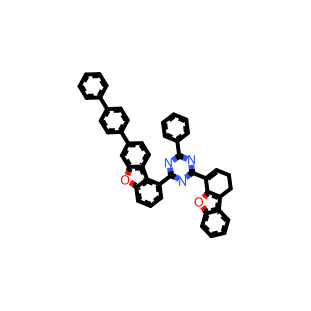 C1=C(c2nc(-c3ccccc3)nc(-c3cccc4oc5cc(-c6ccc(-c7ccccc7)cc6)ccc5c34)n2)c2oc3ccccc3c2CC1